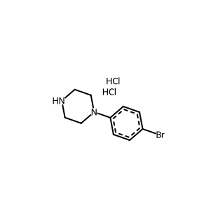 Brc1ccc(N2CCNCC2)cc1.Cl.Cl